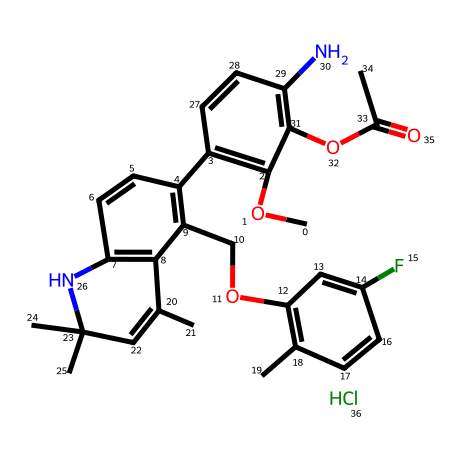 COc1c(-c2ccc3c(c2COc2cc(F)ccc2C)C(C)=CC(C)(C)N3)ccc(N)c1OC(C)=O.Cl